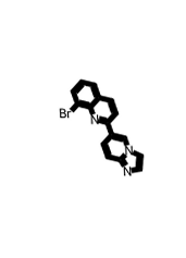 Brc1cccc2ccc(-c3ccc4nccn4c3)nc12